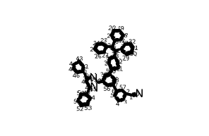 N#Cc1cccc(-c2cc(-c3ccc(C(=C(c4ccccc4)c4ccccc4)c4ccccc4)cc3)cc(-c3nc(-c4ccccc4)cc(-c4ccccc4)n3)c2)c1